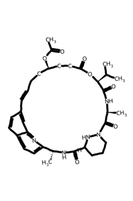 CC(=O)O[C@@H]1CC/C=C/c2ccc3ccc(nc3c2)[C@@H](C)NC(=O)[C@@H]2CCCN(N2)C(=O)[C@H](C)NC(=O)[C@H](C(C)C)OC(=O)CC1